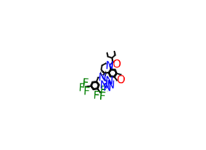 CCC(CC)C(=O)N1CCC[C@H](N(Cc2cc(C(F)(F)F)cc(C(F)(F)F)c2)c2nnn(C)n2)c2cc3c(cc21)COC3